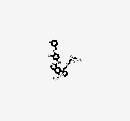 CCS(=O)(=O)CCOCCC1(c2cc3c(Nc4ccc(OCc5cccc(F)c5)c(Cl)c4)ncnc3cc2OC)CC=CO1